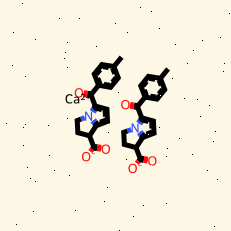 Cc1ccc(C(=O)c2ccc3n2CCC3C(=O)[O-])cc1.Cc1ccc(C(=O)c2ccc3n2CCC3C(=O)[O-])cc1.[Ca+2]